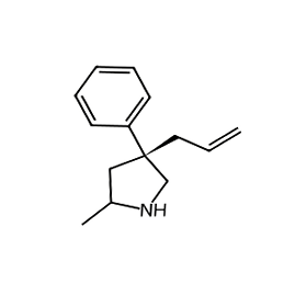 C=CC[C@@]1(c2ccccc2)CNC(C)C1